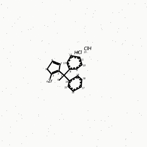 CC(C1=[C]([Zr])CC=C1)(c1ccccc1)c1ccccc1.Cl.Cl